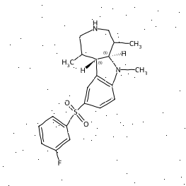 CC1CNCC(C)[C@@H]2[C@@H]1c1cc(S(=O)(=O)c3cccc(F)c3)ccc1N2C